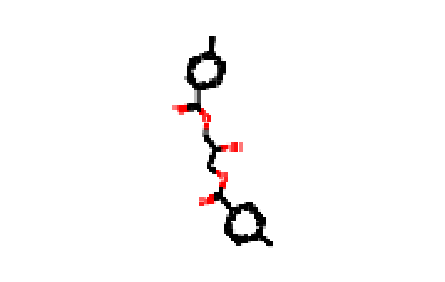 Cc1ccc(C(=O)OCC(O)COC(=O)c2ccc(C)cc2)cc1